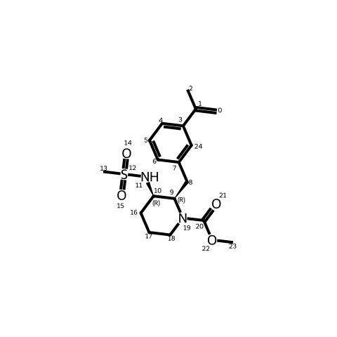 C=C(C)c1cccc(C[C@@H]2[C@H](NS(C)(=O)=O)CCCN2C(=O)OC)c1